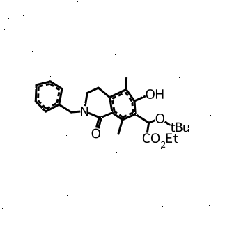 CCOC(=O)C(OC(C)(C)C)c1c(C)c2c(c(C)c1O)CCN(Cc1ccccc1)C2=O